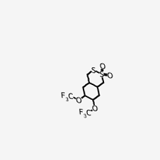 O=S1(=O)CC2CC(OC(F)(F)F)C(OC(F)(F)F)CC2CS1